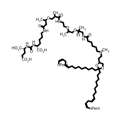 CCCCC/C=C\C/C=C\CCCCCCCCC1(CCCCCCCC/C=C\C/C=C\CCCCC)OCC(CCN(C)CCCCCC(=O)NCC(C)(CC)OCC(C)OCCNC(=O)C(C)COC(C)CC(=O)NCCCC[C@@H](NC(=O)N[C@H](CCC(=O)O)C(=O)O)C(=O)O)O1